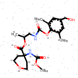 COc1cc(CO)cc(OC)c1OC(=O)NCC(C)OC(=O)C1(NC(=O)OC(C)(C)C)CCOCC1